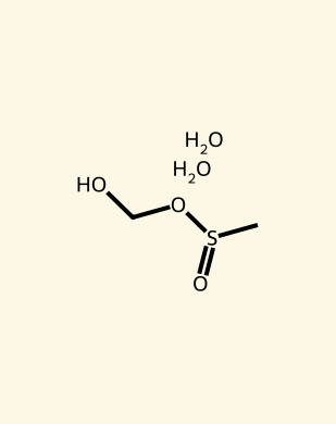 CS(=O)OCO.O.O